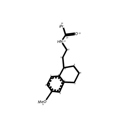 COc1ccc2c(c1)CCCC2CCNC(=O)C(C)C